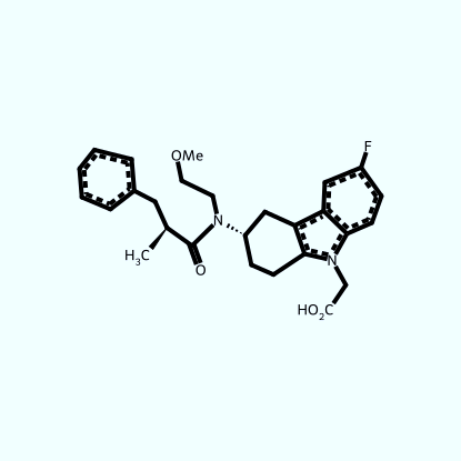 COCCN(C(=O)[C@@H](C)Cc1ccccc1)[C@H]1CCc2c(c3cc(F)ccc3n2CC(=O)O)C1